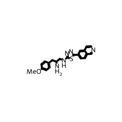 COc1ccc(CC(N)CNc2nnc(-c3ccc4cnccc4c3)s2)cc1